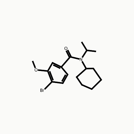 COc1cc(C(=O)N(C(C)C)C2CCCCC2)ccc1Br